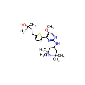 COc1cnc(NC2CC(C)(C)NC(C)(C)C2)nc1-c1ccc(CCC(C)(C)O)s1